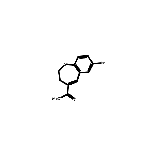 COC(=O)C1=Cc2cc(Br)ccc2SCC1